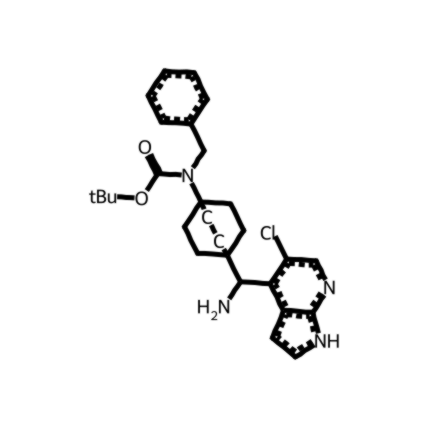 CC(C)(C)OC(=O)N(Cc1ccccc1)C12CCC(C(N)c3c(Cl)cnc4[nH]ccc34)(CC1)CC2